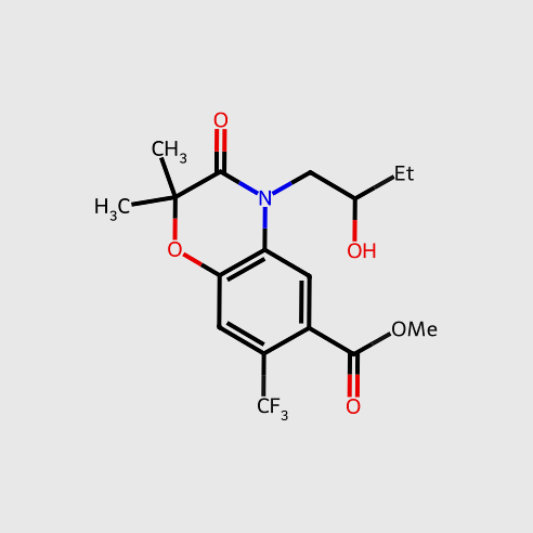 CCC(O)CN1C(=O)C(C)(C)Oc2cc(C(F)(F)F)c(C(=O)OC)cc21